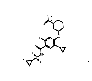 CC(=O)N1CCC[C@@H](Oc2cc(F)c(C(=O)NS(=O)(=O)C3CC3)cc2C2CC2)C1